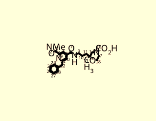 CNC(=O)c1cc(C(=O)NCCCC2(C)CN(C(=O)O)CCO2)cc(Cc2ccccc2)n1